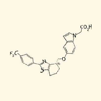 O=C(O)Cn1ccc2cc(OC[C@@H]3CCCc4sc(-c5ccc(C(F)(F)F)cc5)nc43)ccc21